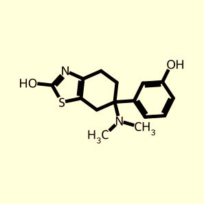 CN(C)C1(c2cccc(O)c2)CCc2nc(O)sc2C1